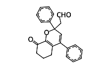 O=CCC1(c2ccccc2)C=C(c2ccccc2)C2=C(O1)C(=O)CCC2